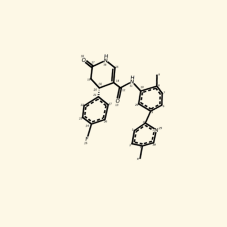 Cc1ccc(-c2ccc(C)c(NC(=O)C3=CNC(=O)C[C@H]3c3ccc(F)cc3)c2)nc1